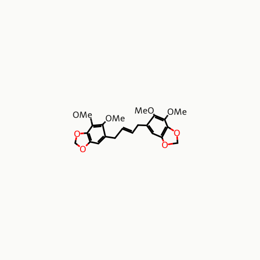 COc1c(C/C=C/Cc2cc3c(c(OC)c2OC)OCO3)cc2c(c1OC)OCO2